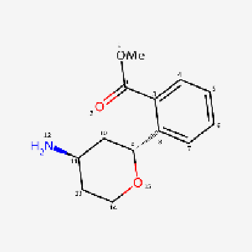 COC(=O)c1ccccc1[C@H]1C[C@H](N)CCO1